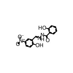 O=C(NN=Cc1cc([N+](=O)[O-])ccc1O)c1ccccc1O